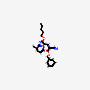 CCCCCOc1nc2c(C)cccn2c1/C=C(/C#N)C(=O)OCc1ccccc1